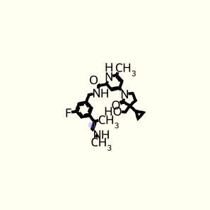 CN/C=C(\C)c1cc(F)cc(CNC(=O)C2C=C(N3CCC(CO)(C4CC4)C3=O)C=C(C)N2)c1